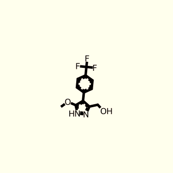 COc1[nH]nc(CO)c1-c1ccc(C(F)(F)F)cc1